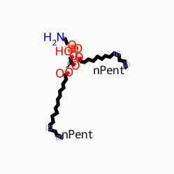 CCCCC/C=C\C/C=C\CCCCCCCCCCCC(=O)OC[C@H](COP(=O)(O)OCCN)OC(=O)CCCCCCC/C=C\C/C=C\CCCCC